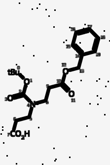 CC(C)(C)OC(=O)N(CCC(=O)O)CCC(=O)OCc1ccccc1